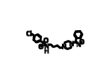 O=S(=O)(NCCCCN1CCN(c2noc3ccccc23)CC1)c1ccc(Cl)cc1